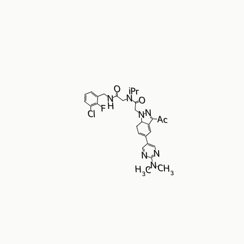 CC(=O)C1=NN(CC(=O)N(CC(=O)NCc2cccc(Cl)c2F)C(C)C)C2CC=C(c3cnc(N(C)C)nc3)C=C12